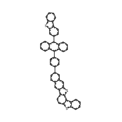 c1ccc2c(c1)sc1cc(-c3c4ccccc4c(-c4ccc(-c5ccc6cc7c(cc6c5)sc5c7ccc6sc7ccccc7c65)cc4)c4ccccc34)ccc12